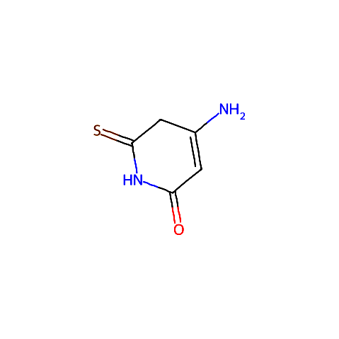 NC1=CC(=O)NC(=S)C1